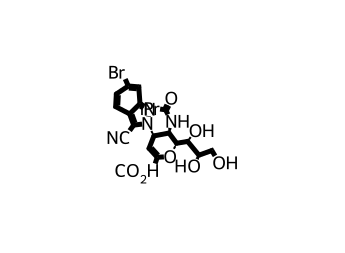 CC(C)C(=O)N[C@H]1[C@H]([C@H](O)[C@H](O)CO)OC(C(=O)O)=C[C@@H]1n1nc2cc(Br)ccc2c1C#N